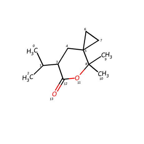 CC(C)C1CC2(CC2)C(C)(C)OC1=O